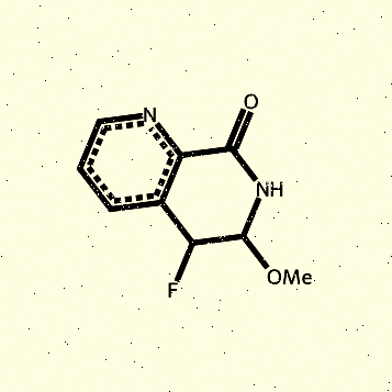 COC1NC(=O)c2ncccc2C1F